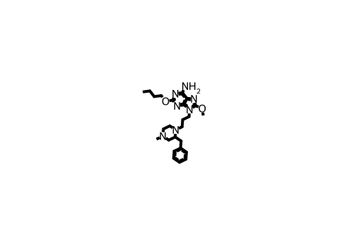 CCCCOc1nc(N)c2nc(OC)n(CCCN3CCN(C)CC3Cc3ccccc3)c2n1